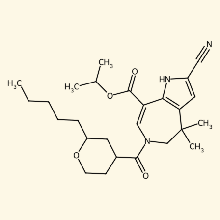 CCCCCC1CC(C(=O)N2C=C(C(=O)OC(C)C)c3[nH]c(C#N)cc3C(C)(C)C2)CCO1